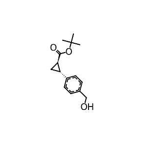 CC(C)(C)OC(=O)[C@@H]1C[C@H]1c1ccc(CO)cc1